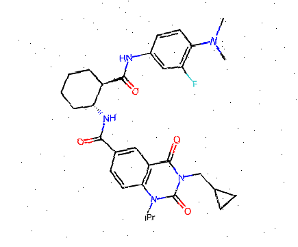 CC(C)n1c(=O)n(CC2CC2)c(=O)c2cc(C(=O)N[C@@H]3CCCC[C@H]3C(=O)Nc3ccc(N(C)C)c(F)c3)ccc21